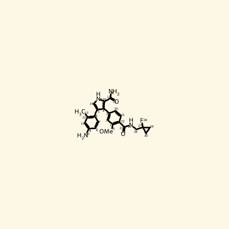 COc1cc(-c2c(-c3ccc(N)cc3C)c[nH]c2C(N)=O)ccc1C(=O)NCC1(F)CC1